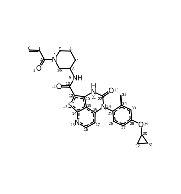 C=CC(=O)N1CCCC(NC(=O)c2sc3nccc4c3c2NC(=O)N4c2ccc(OC3CC3)cc2C)C1